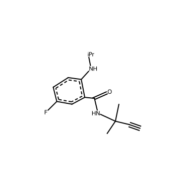 C#CC(C)(C)NC(=O)c1cc(F)ccc1NC(C)C